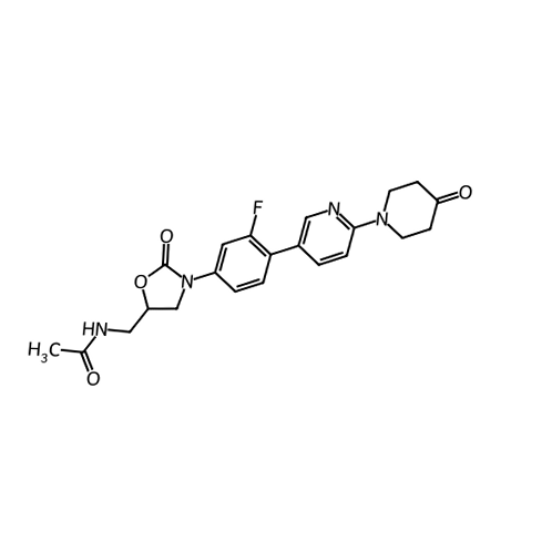 CC(=O)NCC1CN(c2ccc(-c3ccc(N4CCC(=O)CC4)nc3)c(F)c2)C(=O)O1